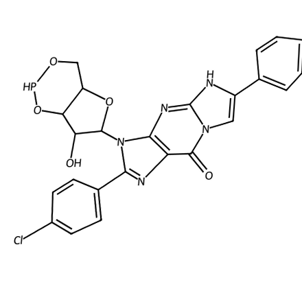 O=c1c2nc(-c3ccc(Cl)cc3)n(C3OC4COPOC4C3O)c2nc2[nH]c(-c3ccccc3)cn12